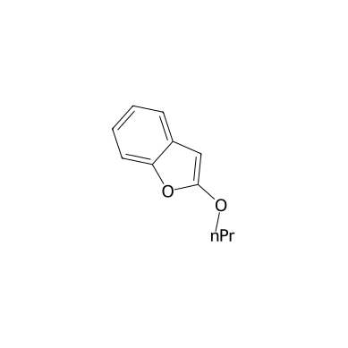 CCCOc1cc2ccccc2o1